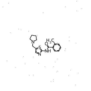 Cc1ccccc1C(=O)Nc1ncc(CN2CCCC2)s1